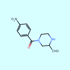 O=CC1CN(C(=O)c2ccc([N+](=O)[O-])cc2)CCN1